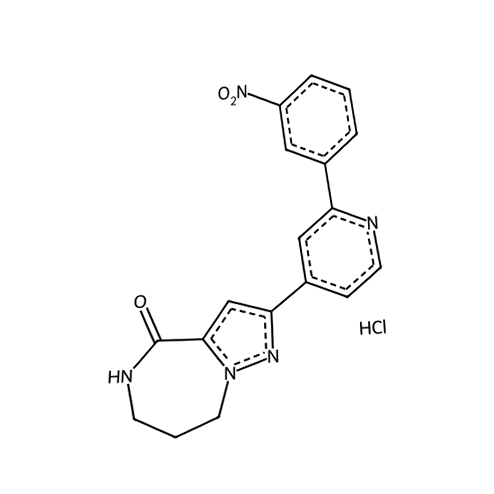 Cl.O=C1NCCCn2nc(-c3ccnc(-c4cccc([N+](=O)[O-])c4)c3)cc21